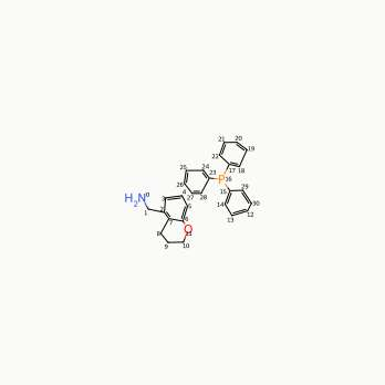 NCc1cccc2c1CCCO2.c1ccc(P(c2ccccc2)c2ccccc2)cc1